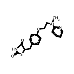 C[As](CCOc1ccc(CC2SC(=O)NC2=O)cc1)c1ccccn1